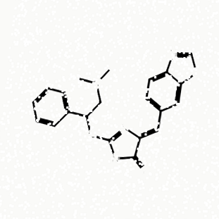 CN(C)CC(NC1=N/C(=C\c2ccc3ncsc3c2)C(=O)N1)c1ccccc1